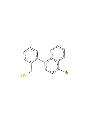 SCc1ccccc1-c1ccc(Br)c2ccccc12